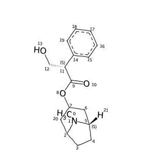 CN1C2CC[C@H]1CC(OC(=O)[C@H](CO)c1ccccc1)C2